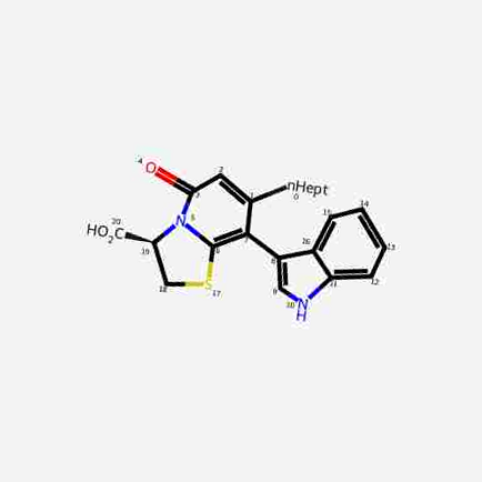 CCCCCCCc1cc(=O)n2c(c1-c1c[nH]c3ccccc13)SC[C@H]2C(=O)O